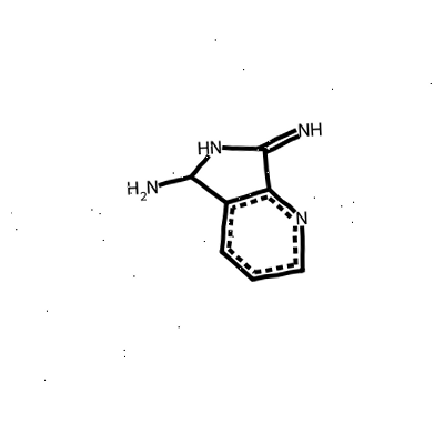 N=C1NC(N)c2cccnc21